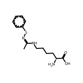 CC(=NSc1ccccc1)NCCCC[C@H](N)C(=O)O